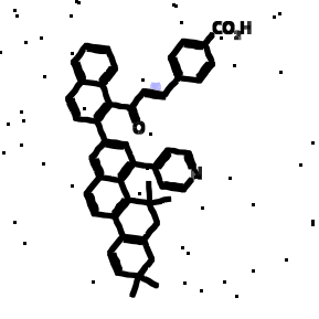 CC1(C)C=CC2=C(C1)CC(C)(C)c1c2ccc2cc(-c3ccc4ccccc4c3C(=O)/C=C/c3ccc(C(=O)O)cc3)cc(-c3ccncc3)c12